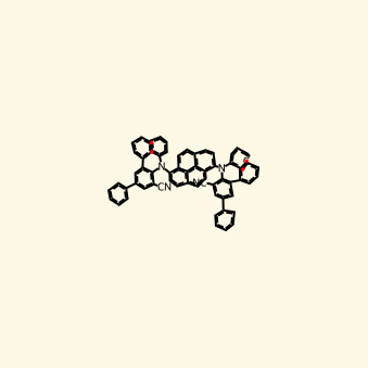 N#Cc1cc(-c2ccccc2)cc(-c2ccccc2)c1N(c1ccccc1)c1ccc2ccc3c(N(c4ccccc4)c4c(C#N)cc(-c5ccccc5)cc4-c4ccccc4)ccc4ccc1c2c43